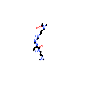 CC/C(=N\C=N/CNCCCN(C)C(C)O)C(=O)NCCCN(C)C